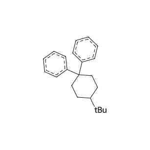 CC(C)(C)C1CCC(c2ccccc2)(c2ccccc2)CC1